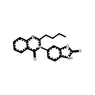 CCCCc1nc2ccccc2c(=O)n1-c1ccc2[nH]c(=O)oc2c1